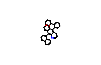 c1ccc(-c2ccccc2-c2c3ccccc3c(-c3cccc4ccccc34)c3ncccc23)cc1